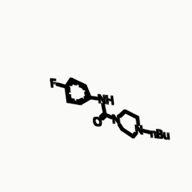 CCCCN1CCN(C(=O)Nc2ccc(F)cc2)CC1